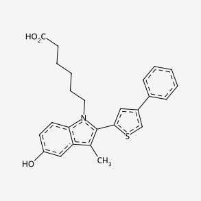 Cc1c(-c2cc(-c3ccccc3)cs2)n(CCCCCC(=O)O)c2ccc(O)cc12